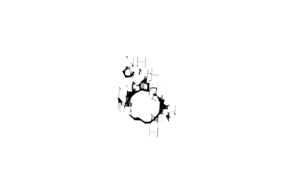 CC12OC[C@H]3O[C@@H](N)CC3C3(OC[C@@H]4CC[C@H](N)O4)c4ncnc(c43)NC/C=C/CCNc3ncnc1c32